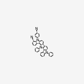 N#Cc1ccc(-n2c3ccc4c5ccc6c(c7ccccc7n6-c6ccccc6)c5n(-c5ccccc5)c4c3c3cccc(C#N)c32)cc1